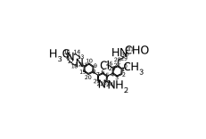 Cc1ccc(-c2cc(-c3ccc(N4CCN(C)CC4)cc3)cnc2N)c(Cl)c1CCNC=O